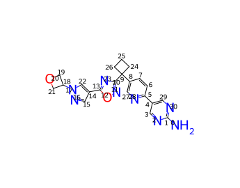 Nc1ncc(-c2ccc(C3(c4noc(-c5cnn(C6COC6)c5)n4)CCC3)cn2)cn1